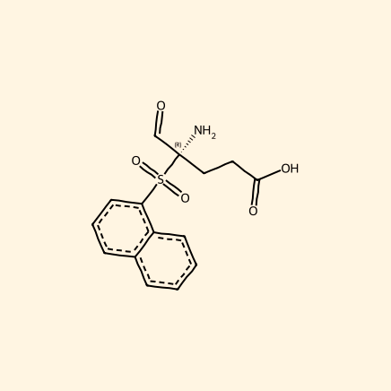 N[C@](C=O)(CCC(=O)O)S(=O)(=O)c1cccc2ccccc12